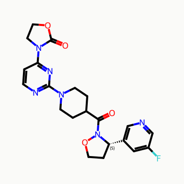 O=C1OCCN1c1ccnc(N2CCC(C(=O)N3OCC[C@H]3c3cncc(F)c3)CC2)n1